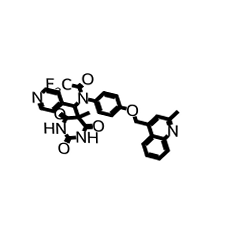 Cc1cc(COc2ccc(N(C(=O)C(F)(F)F)C(c3ccncc3)C3(C)C(=O)NC(=O)NC3=O)cc2)c2ccccc2n1